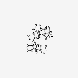 O=C1[C@H](N2CCCC(Nc3ccccc3S(=O)(=O)N3CCCCC3)C2=O)CCCN1c1ncnc2[nH]ccc12